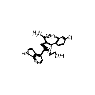 NC(=O)c1cc(-c2ccnc3[nH]ccc23)n(CCO)c1-c1ccc(Cl)cc1Cl